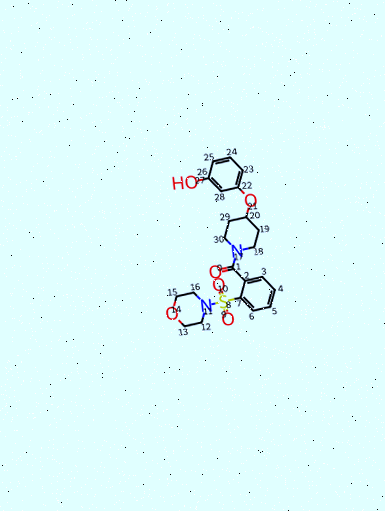 O=C(c1ccccc1S(=O)(=O)N1CCOCC1)N1CCC(Oc2cccc(O)c2)CC1